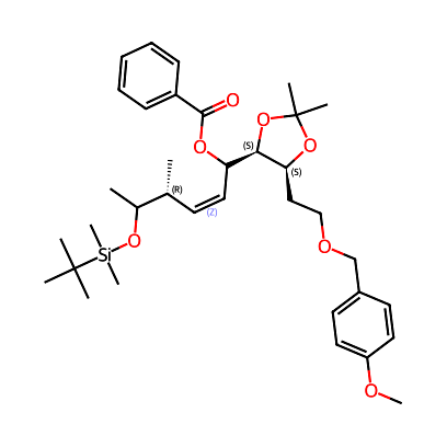 COc1ccc(COCC[C@@H]2OC(C)(C)O[C@@H]2C(/C=C\[C@@H](C)C(C)O[Si](C)(C)C(C)(C)C)OC(=O)c2ccccc2)cc1